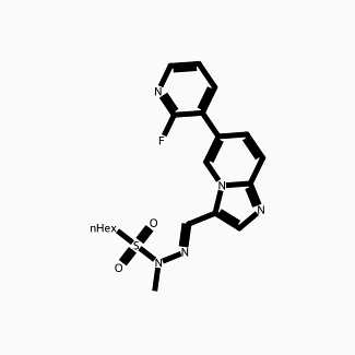 CCCCCCS(=O)(=O)N(C)N=Cc1cnc2ccc(-c3cccnc3F)cn12